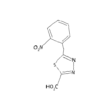 O=C(O)c1nnc(-c2ccccc2[N+](=O)[O-])s1